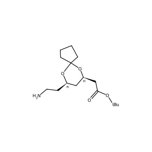 CC(C)(C)OC(=O)C[C@H]1C[C@@H](CCN)OC2(CCCC2)O1